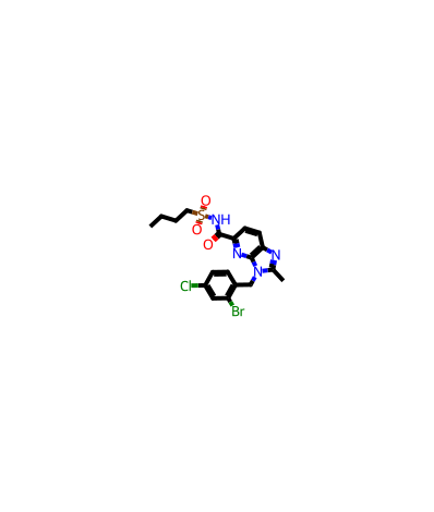 CCCCS(=O)(=O)NC(=O)c1ccc2nc(C)n(Cc3ccc(Cl)cc3Br)c2n1